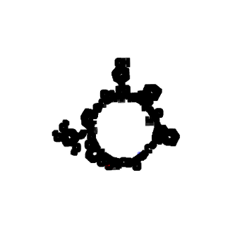 COc1cc(OC)c(OC)cc1CC[C@H]1OC(=O)[C@@H]2CCCCN2C(=O)C(O)C(C)(C)COC(=O)/C=C/CCN(C)C(=O)[C@@H](Cc2ccccc2)NC(=O)CN(C)C(=O)[C@@H](Cc2ccccc2)NC(=O)[C@H](CCc2ccc(O)cc2)N(C)C(=O)COc2cccc1c2